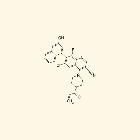 C=CC(=O)N1CCN(c2c(C#N)cnc3c(F)c(-c4cc(O)cc5ccccc45)c(Cl)cc23)CC1